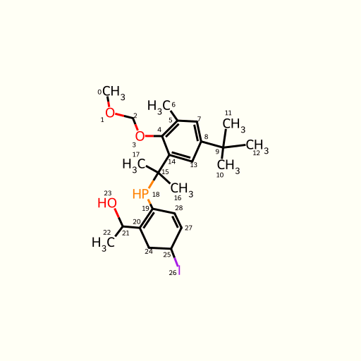 COCOc1c(C)cc(C(C)(C)C)cc1C(C)(C)PC1=C(C(C)O)CC(I)C=C1